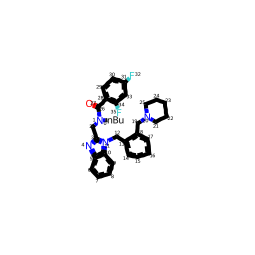 CCCCN(Cc1nc2ccccc2n1Cc1ccccc1CN1CCCCC1)C(=O)c1ccc(F)cc1F